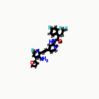 Nc1c([C@H]2CCCO2)cc(F)nc1C#Cc1ccnc(NC(=O)[C@H](CC(F)F)c2ccc(F)cc2)c1